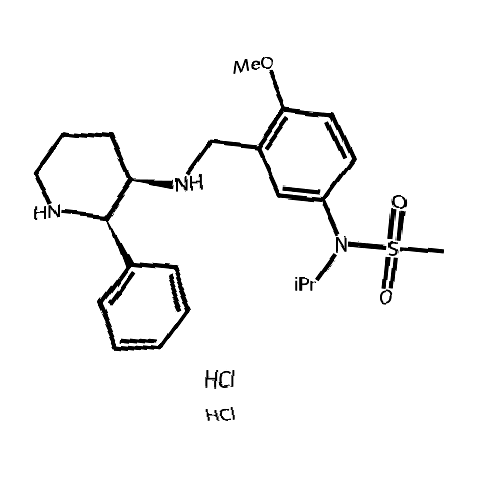 COc1ccc(N(C(C)C)S(C)(=O)=O)cc1CN[C@@H]1CCCN[C@@H]1c1ccccc1.Cl.Cl